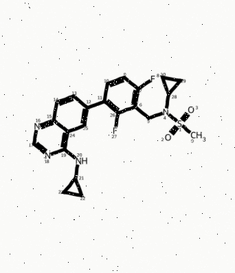 CS(=O)(=O)N(Cc1c(F)ccc(-c2ccc3ncnc(NC4CC4)c3c2)c1F)C1CC1